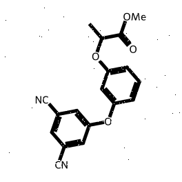 COC(=O)C(C)Oc1cccc(Oc2cc(C#N)cc(C#N)c2)c1